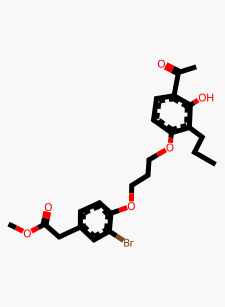 CCCc1c(OCCCOc2ccc(CC(=O)OC)cc2Br)ccc(C(C)=O)c1O